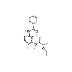 CCOC(C)C(=O)N(C)c1c(F)ccc(NC(=O)c2ccccc2)c1F